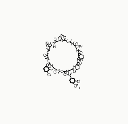 CC[C@H](C)[C@@H]1NC(=O)[C@H](CC(C)C)N(C)C(=O)C[C@@H](C)N(C)C(=O)[C@H](C(C)C)N(C)C(=O)C2(CCCC2)NC(=O)[C@@H]2CCCN2C(=O)[C@H](CCc2ccc(C(F)(F)F)c(Cl)c2)NC(=O)CN(C)C(=O)[C@H](Cc2ccccc2Cl)N(C)C(=O)CN(C)C(=O)CN(C)C1=O